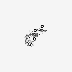 CCOC(=O)[C@H](C)OP(=O)(COc1ccc(C[C@H](NC(=O)O[C@H]2CO[C@H]3OCC[C@H]32)[C@H](O)CN(CC(C)C)S(=O)(=O)c2ccc(COC(=O)[C@@H](NC(=O)C(F)(F)F)C(C)C)cc2)cc1)Oc1ccccc1